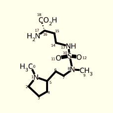 CN1CCCC1CCN(C)S(=O)(=O)NCC[C@H](N)C(=O)O